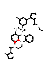 CCOC(=O)c1sccc1-c1cc(C)cc(S(=O)(=O)N(c2ccccc2N2CCN(C(=O)c3sccc3Br)CC2)c2ccccc2[N+](=O)[O-])c1